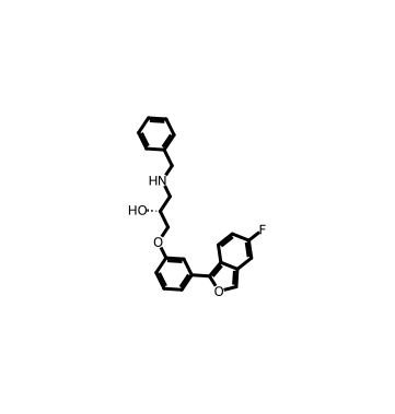 O[C@H](CNCc1ccccc1)COc1cccc(-c2occ3cc(F)ccc23)c1